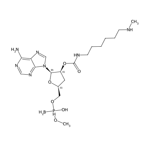 B[PH](O)(OC)OC[C@@H]1C[C@H](OC(=O)NCCCCCCNC)[C@H](n2cnc3c(N)ncnc32)O1